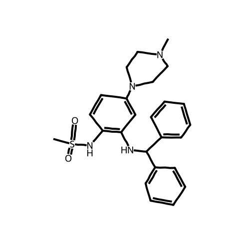 CN1CCN(c2ccc(NS(C)(=O)=O)c(NC(c3ccccc3)c3ccccc3)c2)CC1